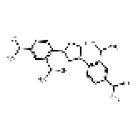 CC(C)c1ccc(N2[C]N(c3ccc(C(C)C)cc3C(C)C)CC2)c(C(C)C)c1